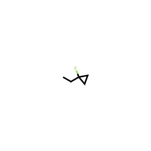 C[CH]C1(F)CC1